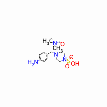 CN(C)C=O.Nc1ccc(CN2CCN(S(=O)(=O)O)CC2)cc1